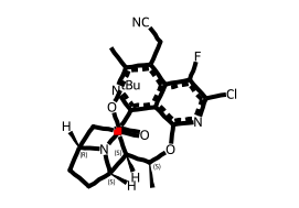 Cc1nc2c3c(nc(Cl)c(F)c3c1CC#N)O[C@@H](C)[C@@H]1[C@@H]3CC[C@H](CN21)N3C(=O)OC(C)(C)C